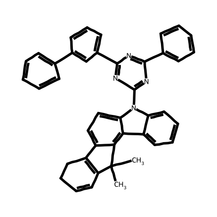 CC1(C)C2=C(CCC=C2)c2ccc3c(c21)c1ccccc1n3-c1nc(-c2ccccc2)nc(-c2cccc(-c3ccccc3)c2)n1